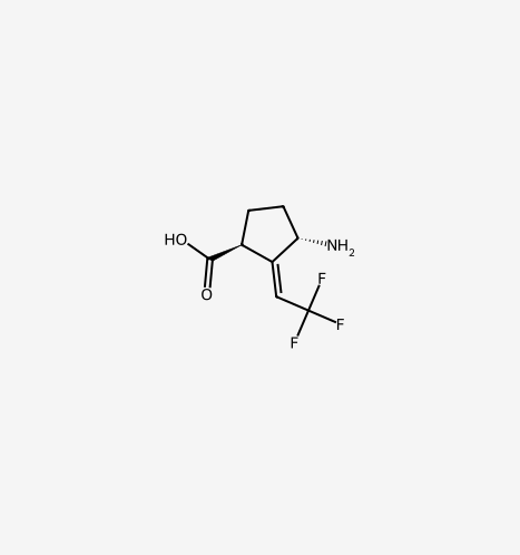 N[C@H]1CC[C@H](C(=O)O)/C1=C/C(F)(F)F